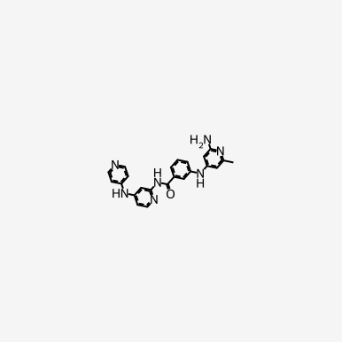 Cc1cc(Nc2cccc(C(=O)Nc3cc(Nc4ccncc4)ccn3)c2)cc(N)n1